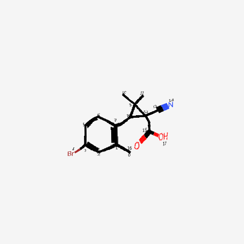 Cc1cc(Br)ccc1C1C(C)(C)C1(C#N)C(=O)O